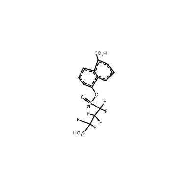 O=C(O)c1cccc2c(OS(=O)(=O)C(F)(F)C(F)(F)C(F)(F)S(=O)(=O)O)cccc12